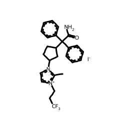 Cc1n(C2CCC(C(C(N)=O)(c3ccccc3)c3ccccc3)C2)cc[n+]1CCC(F)(F)F.[I-]